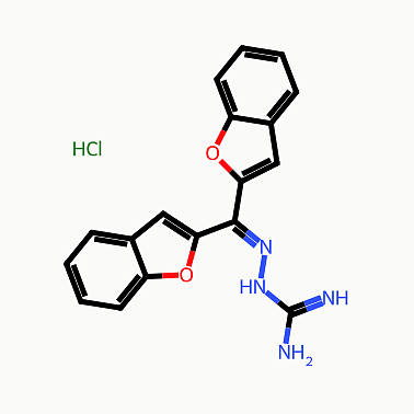 Cl.N=C(N)NN=C(c1cc2ccccc2o1)c1cc2ccccc2o1